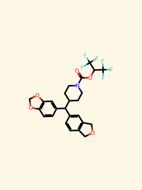 O=C(OC(C(F)(F)F)C(F)(F)F)N1CCC(C(c2ccc3c(c2)COC3)c2ccc3c(c2)OCO3)CC1